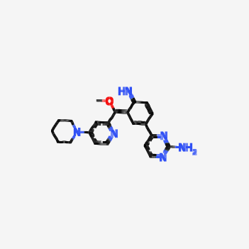 CO/C(=C1/C=C(c2ccnc(N)n2)C=CC1=N)c1cc(N2CCCCC2)ccn1